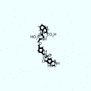 C[C@H](N[C@@H](COCc1ccc(CNS(=O)(=O)c2cc3c(cc2Cl)NCNS3)cc1)C(=O)O)C(=O)N1[C@@H]2CCCC[C@@H]2C[C@H]1C(=O)O